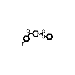 O=C(c1ccc(F)cc1)C1CCN(C(=O)Oc2ccccc2)CC1